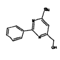 CC(C)(C)c1cc(CO)nc(-c2ccccc2)n1